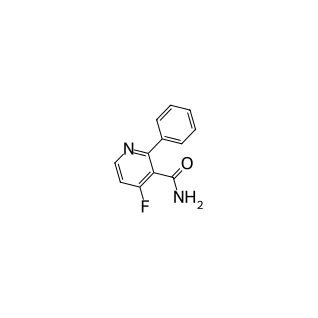 NC(=O)c1c(F)ccnc1-c1ccccc1